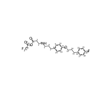 O=C(CCNCCCc1ccc(OCCCc2ccc(F)cc2)cc1)OC(=O)C(F)(F)F